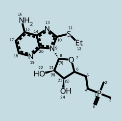 C=P(C)(C)CCC1O[C@@H](n2c(SCC)nc3c(N)ccnc32)[C@H](O)[C@@H]1O